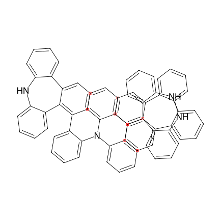 c1ccc2c(c1)Nc1ccccc1-c1c-2cccc1-c1ccccc1N(c1ccccc1-c1cccc2c1-c1ccccc1Nc1ccccc1-2)c1ccccc1-c1cccc2c1-c1ccccc1Nc1ccccc1-2